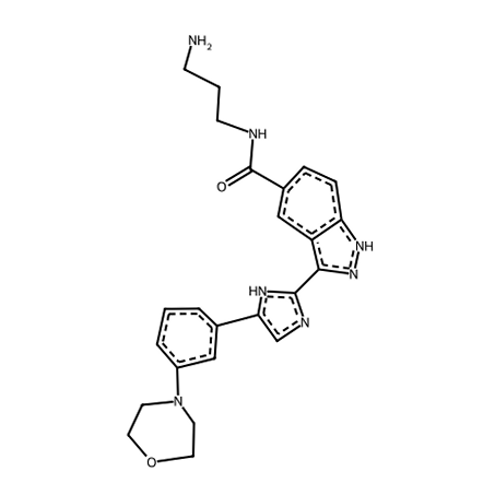 NCCCNC(=O)c1ccc2[nH]nc(-c3ncc(-c4cccc(N5CCOCC5)c4)[nH]3)c2c1